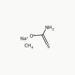 C.NC([O-])=S.[Na+]